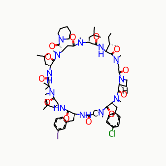 C=C(C)C[C@@H]1NC(=O)[C@H](Cc2cccc(I)c2)NC(=O)CN(C)C(=O)[C@H](Cc2ccc(Cl)cc2)N(C)C(=O)[C@@H]2CCN2C(=O)CN(C)C(=O)[C@H]([C@@H](C)CC)NC(=O)[C@H](CC(C)C)N(C)C(=O)C[C@@H](C(=O)N2CCCCC2)N(C)C(=O)[C@H](CC(C)C)NC(=O)C(C)(C)N(C)C1=O